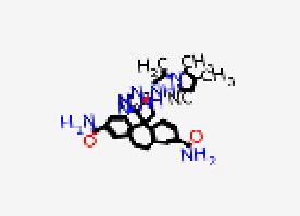 C=C(CN[C@@H](C)CC1(c2nnn[nH]2)c2ccc(C(N)=O)cc2CCc2cc(C(N)=O)ccc21)N1C(C#N)C[C@H](C)C1C